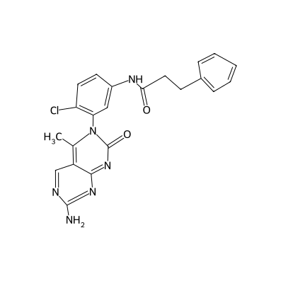 Cc1c2cnc(N)nc2nc(=O)n1-c1cc(NC(=O)CCc2ccccc2)ccc1Cl